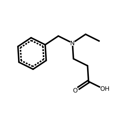 CCN(CCC(=O)O)Cc1ccccc1